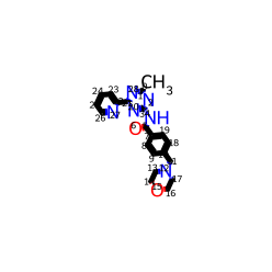 Cc1nc(NC(=O)c2ccc(CN3CCOCC3)cc2)nc(-c2ccccn2)n1